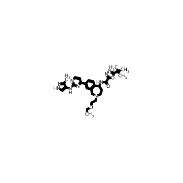 CCOCCN1CCC(NC(=O)c2nnc(C(C)(C)C)o2)c2ccc(-c3ccnc(Nc4c[nH]nc4C)n3)cc2C1